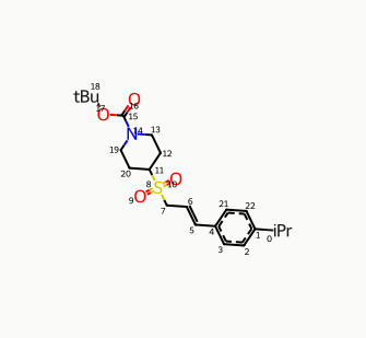 CC(C)c1ccc(C=CCS(=O)(=O)C2CCN(C(=O)OC(C)(C)C)CC2)cc1